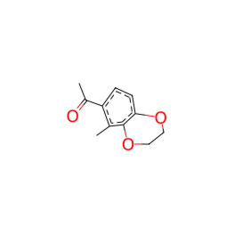 CC(=O)c1ccc2c(c1C)OCCO2